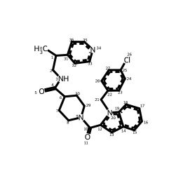 CC(CNC(=O)C1CCN(C(=O)c2cc3ccccc3n2Cc2ccc(Cl)cc2)CC1)c1ccncc1